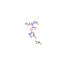 CSCc1cc(OC(=O)N(C)C)no1